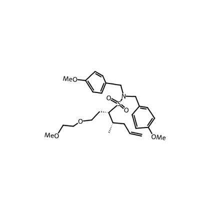 C=CC[C@H](C)[C@H](CCOCCOC)S(=O)(=O)N(Cc1ccc(OC)cc1)Cc1ccc(OC)cc1